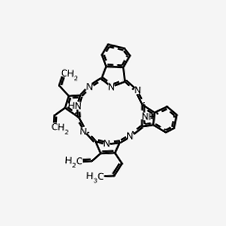 C=CC1=C(/C=C\C)c2nc1nc1[nH]c(nc3nc(nc4[nH]c(n2)c2ccccc42)-c2ccccc2-3)c(C=C)c1C=C